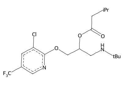 CC(C)CC(=O)OC(CNC(C)(C)C)COc1ncc(C(F)(F)F)cc1Cl